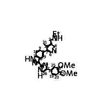 CCNCc1cncc(-c2ccc3[nH]nc(-c4nc(-c5ccc(OC)c(OC)c5)c[nH]4)c3c2)c1C